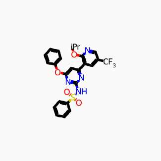 CC(C)Oc1ncc(C(F)(F)F)cc1-c1cc(Oc2ccccc2)nc(NS(=O)(=O)c2ccccc2)n1